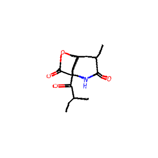 CC(C)C(=O)C12NC(=O)C(C)C1OC2=O